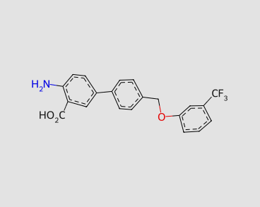 Nc1ccc(-c2ccc(COc3cccc(C(F)(F)F)c3)cc2)cc1C(=O)O